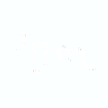 COc1cc([S+](C)[O-])ccc1-c1cn2cc(O)cnc2n1